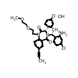 CC#Cc1ccc2c(c1)C(=O)N([C@H](C)c1ccc(Cl)cc1N)[C@@H](c1ccc(Cl)cc1)C(=O)N2CCOCCOC.Cl